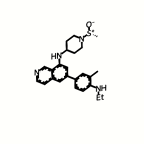 CCNc1ccc(-c2cc(NC3CCN([S@@+](C)[O-])CC3)c3cnccc3c2)cc1C